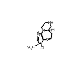 Cc1cnc2c(c1Cl)SCC[C@H]1CNCCN21